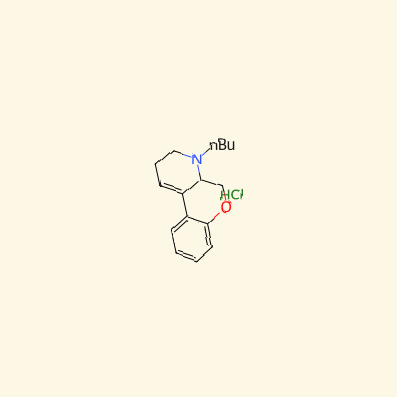 CCCCN1CCC=C2c3ccccc3OCC21.Cl